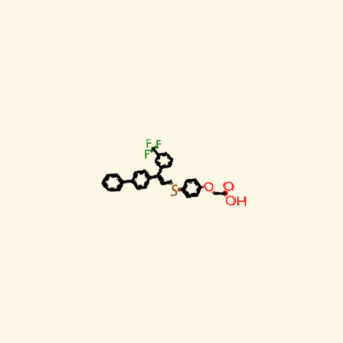 O=C(O)COc1ccc(SCC=C(c2ccc(-c3ccccc3)cc2)c2cccc(C(F)(F)F)c2)cc1